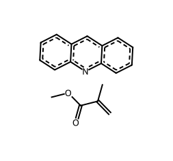 C=C(C)C(=O)OC.c1ccc2nc3ccccc3cc2c1